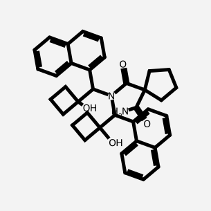 NC(=O)C1(C(=O)N(C(c2cccc3ccccc23)C2(O)CCC2)C(c2cccc3ccccc23)C2(O)CCC2)CCCC1